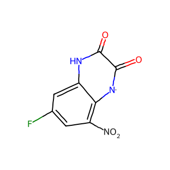 O=C1[N]c2c(cc(F)cc2[N+](=O)[O-])NC1=O